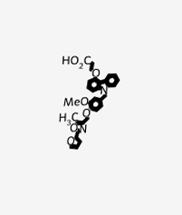 COc1cc(Cn2c3ccccc3c3c(OCCC(=O)O)cccc32)ccc1OCc1nc(C2CC=CO2)oc1C